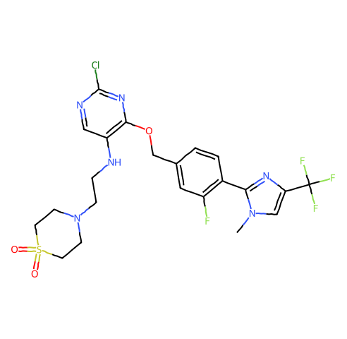 Cn1cc(C(F)(F)F)nc1-c1ccc(COc2nc(Cl)ncc2NCCN2CCS(=O)(=O)CC2)cc1F